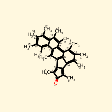 CC1=C2C(=C(C)C1=O)c1c(C)c3c4c(C)c(C)c(C)c(C)c4c(C)c(C)c3c3c(C)c(C)c(C)c2c13